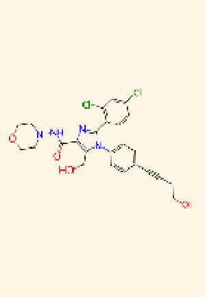 O=C(NN1CCOCC1)c1nc(-c2ccc(Cl)cc2Cl)n(-c2ccc(C#CCCO)cc2)c1CO